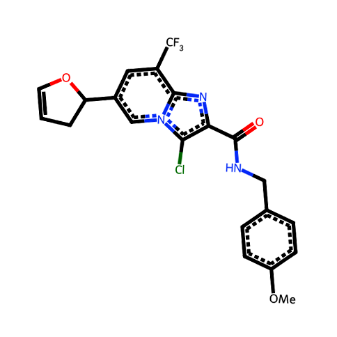 COc1ccc(CNC(=O)c2nc3c(C(F)(F)F)cc(C4CC=CO4)cn3c2Cl)cc1